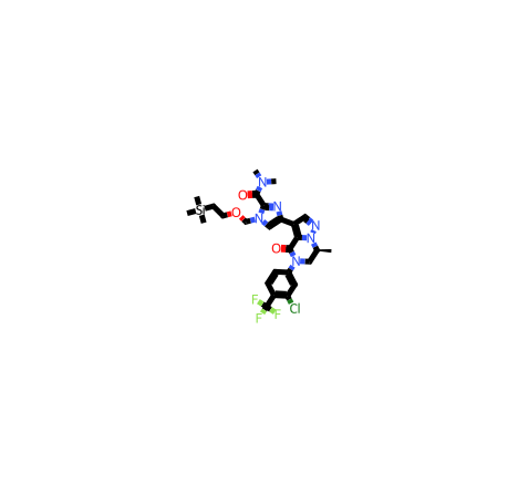 C[C@H]1CN(c2ccc(C(F)(F)F)c(Cl)c2)C(=O)c2c(-c3cn(COCC[Si](C)(C)C)c(C(=O)N(C)C)n3)cnn21